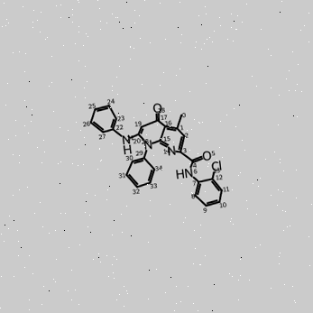 Cc1cc(C(=O)Nc2ccccc2Cl)nc2c1c(=O)cc(Nc1ccccc1)n2-c1ccccc1